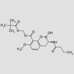 CCCC(=O)N[C@H]1Cc2ccc(OC)c(C(=O)OCOC(=O)C(C)(C)C)c2OB1O